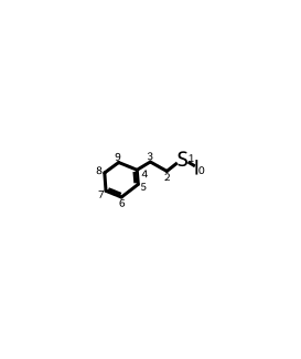 ISCCC1=CC=CCC1